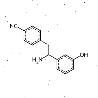 N#Cc1ccc(CC(N)c2cccc(O)c2)cc1